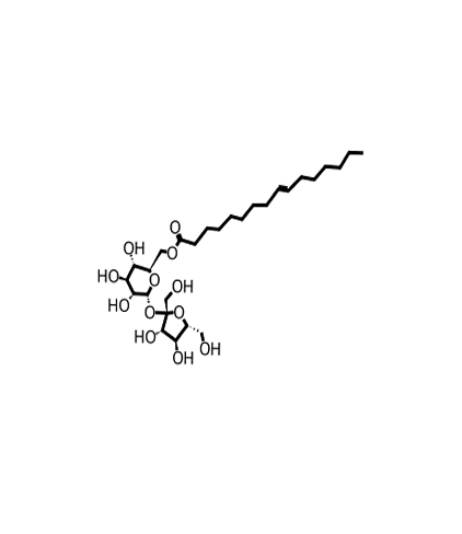 CCCCCCC=CCCCCCCCC(=O)OC[C@H]1O[C@H](O[C@]2(CO)O[C@H](CO)[C@@H](O)[C@@H]2O)[C@H](O)[C@@H](O)[C@@H]1O